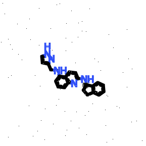 c1ccc2c(c1)CC[C@H]2Nc1ccc2c(NCc3cc[nH]n3)cccc2n1